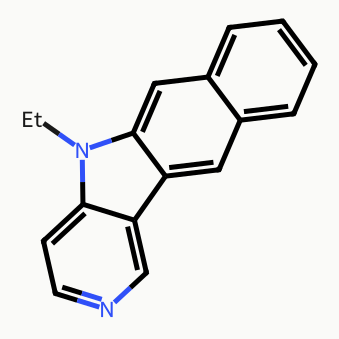 CCn1c2ccncc2c2cc3ccccc3cc21